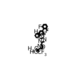 CC(O)(c1coc(-c2cncc([C@]34CC[C@H](C3)c3cc(-c5c(F)cccc5F)nnc34)n2)n1)C(F)(F)F